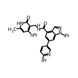 CCCc1cc(C)[nH]c(=O)c1CNC(=O)c1cc(-c2ccc(C(C)C)nc2)cc2c1cnn2C(C)C